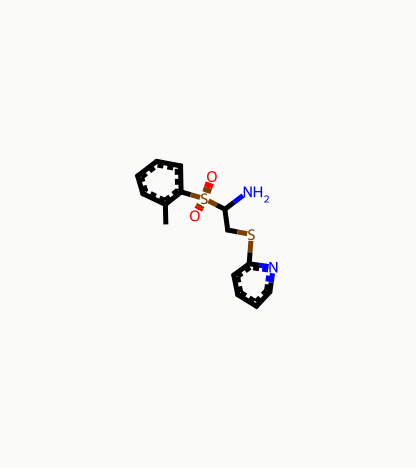 Cc1ccccc1S(=O)(=O)C(N)CSc1ccccn1